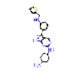 NC1CCC(Nc2ncc3c(-c4cccc(NCc5cccs5)c4)n[nH]c3n2)CC1